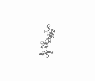 C=CCOC(=O)C(=C=c1sc(=C=CNc2ncc(Br)c(NCCOC)n2)c(=O)n1CC)C#N